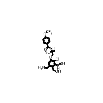 CC(C#N)(COc1cc(CN)c(CO)c(BO)c1Cl)NC(=O)c1ccc(OC(F)(F)F)cc1